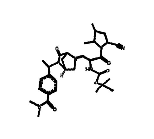 CC1CC(C#N)N(C(=O)C(CN2C[C@@H]3CC2C(=O)N3C(C)c2ccc(C(=O)N(C)C)cc2)NC(=O)OC(C)(C)C)C1C